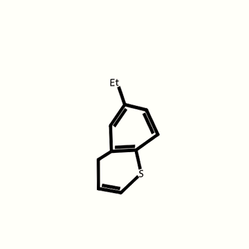 CCc1ccc2c(c1)CC=CS2